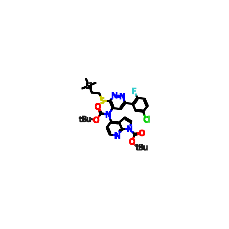 CC(C)(C)OC(=O)N(c1cc(-c2cc(Cl)ccc2F)nnc1SCC[Si](C)(C)C)c1ccnc2c1ccn2C(=O)OC(C)(C)C